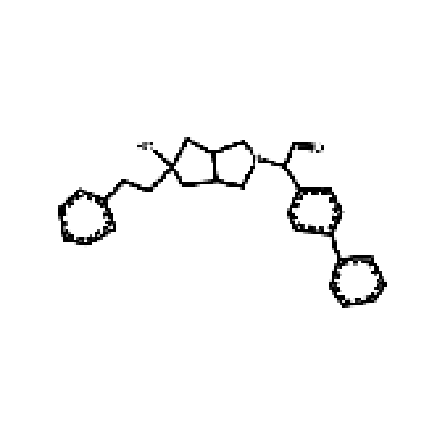 O=CC(c1ccc(-c2ccccc2)cc1)N1CC2CC(O)(CCc3ccccc3)CC2C1